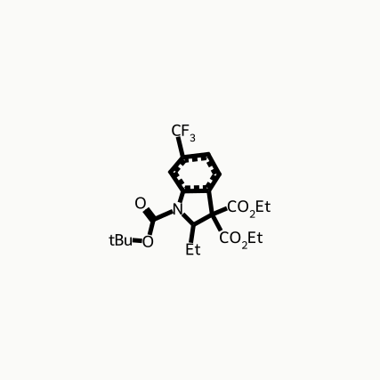 CCOC(=O)C1(C(=O)OCC)c2ccc(C(F)(F)F)cc2N(C(=O)OC(C)(C)C)C1CC